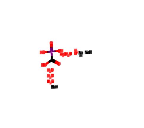 O.O.O.O.O.O.O=C(O)P(=O)(O)O.[NaH].[NaH].[NaH]